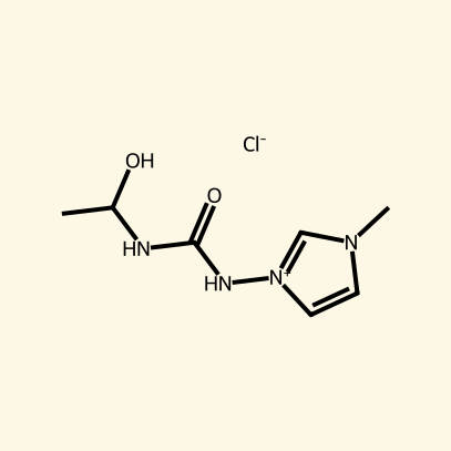 CC(O)NC(=O)N[n+]1ccn(C)c1.[Cl-]